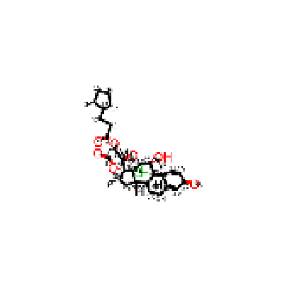 COC(=O)O[C@]1(C(=O)COC(=O)CCC2CCCC2)[C@H](C)C[C@H]2[C@@H]3CCC4=CC(=O)C=C[C@]4(C)[C@@]3(Cl)C(O)C[C@@]21C